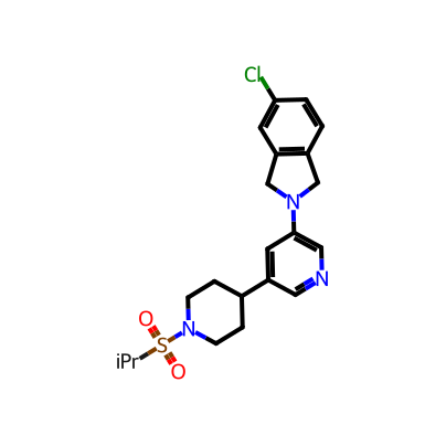 CC(C)S(=O)(=O)N1CCC(c2cncc(N3Cc4ccc(Cl)cc4C3)c2)CC1